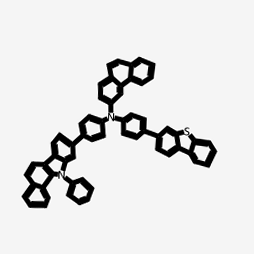 c1ccc(-n2c3cc(-c4ccc(N(c5ccc(-c6ccc7c(c6)sc6ccccc67)cc5)c5ccc6ccc7ccccc7c6c5)cc4)ccc3c3ccc4ccccc4c32)cc1